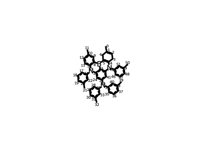 CC1=CCC2=C(C1)B1c3cc(C)ccc3N(c3cccc(C)c3)c3cc(N(c4cccc(C)c4)c4cccc(C)c4)cc(c31)N2c1cccc(C)c1